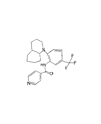 O=C(Nc1cc(C(F)(F)F)ccc1N1CCCC2CCCCC21)c1ccncc1